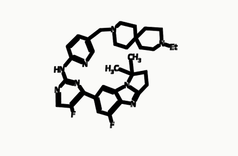 CCN1CCC2(CC1)CCN(Cc1ccc(Nc3ncc(F)c(-c4cc(F)c5nc6n(c5c4)C(C)(C)CC6)n3)nc1)CC2